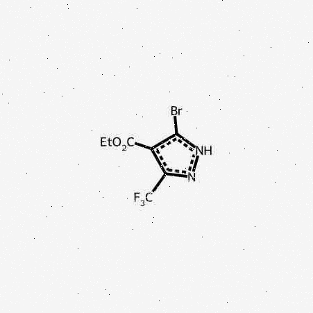 CCOC(=O)c1c(C(F)(F)F)n[nH]c1Br